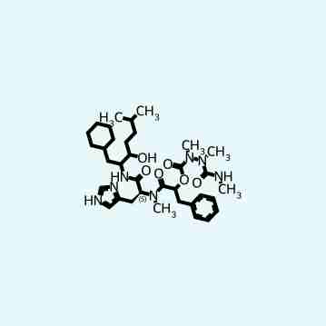 CNC(=O)N(C)N(C)C(=O)OC(Cc1ccccc1)C(=O)N(C)[C@@H](Cc1c[nH]cn1)C(=O)NC(CC1CCCCC1)C(O)CCC(C)C